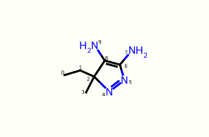 CCC1(C)N=NC(N)=C1N